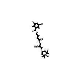 CN1C(C)(C)CC(OCC(O)COC(=O)CCCOC(=O)c2cc(I)cc(I)c2I)CC1(C)C